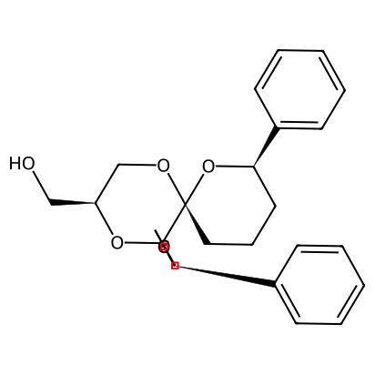 OC[C@H]1CO[C@@]2(CCC[C@H](c3ccccc3)O2)[C@@]2(CCC[C@H](c3ccccc3)O2)O1